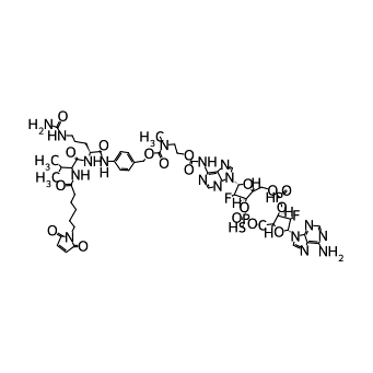 CC(C)[C@H](NC(=O)CCCCCN1C(=O)C=CC1=O)C(=O)N[C@@H](CCCNC(N)=O)C(=O)Nc1ccc(COC(=O)N(C)CCOC(=O)Nc2ncnc3c2ncn3[C@@H]2O[C@@H]3CO[PH](=O)O[C@H]4[C@@H](F)[C@H](n5cnc6c(N)ncnc65)O[C@@H]4CO[P@@](=O)(S)O[C@H]3[C@H]2F)cc1